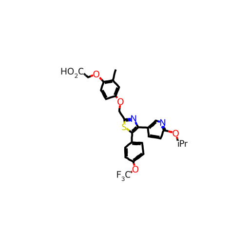 Cc1cc(OCc2nc(-c3ccc(OC(C)C)nc3)c(-c3ccc(OC(F)(F)F)cc3)s2)ccc1OCC(=O)O